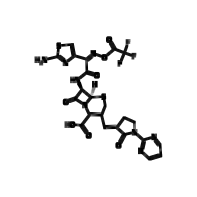 Nc1nc(/C(=N/OC(=O)C(F)(F)F)C(=O)N[C@@H]2C(=O)N3C(C(=O)O)=C(/C=C4\CCN(c5ncccn5)C4=O)CS[C@H]23)cs1